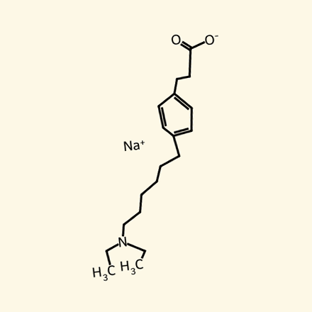 CCN(CC)CCCCCCc1ccc(CCC(=O)[O-])cc1.[Na+]